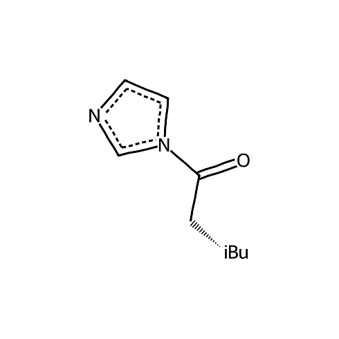 CC[C@@H](C)CC(=O)n1ccnc1